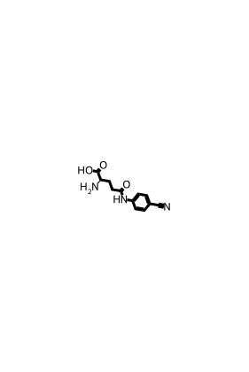 N#Cc1ccc(NC(=O)CC[C@H](N)C(=O)O)cc1